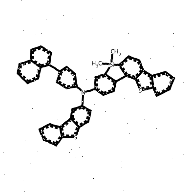 C[Si]1(C)c2cc(N(c3ccc(-c4cccc5ccccc45)cc3)c3ccc4sc5ccccc5c4c3)ccc2-c2c1ccc1c2sc2ccccc21